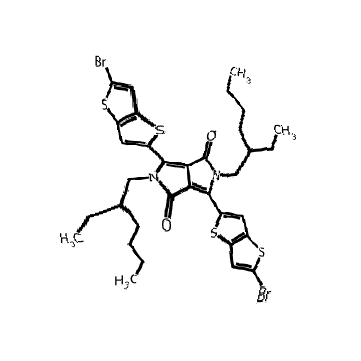 CCCCC(CC)CN1C(=O)C2=C(c3cc4sc(Br)cc4s3)N(CC(CC)CCCC)C(=O)C2=C1c1cc2sc(Br)cc2s1